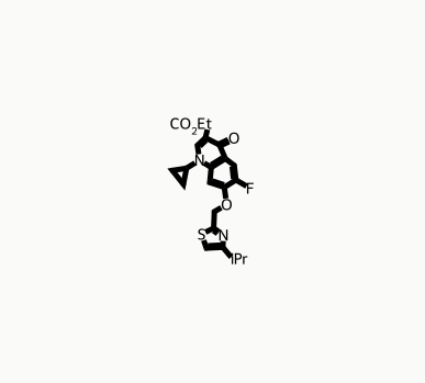 CCOC(=O)c1cn(C2CC2)c2cc(OCc3nc(C(C)C)cs3)c(F)cc2c1=O